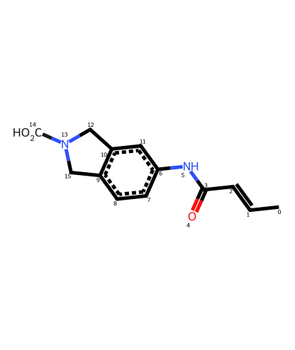 CC=CC(=O)Nc1ccc2c(c1)CN(C(=O)O)C2